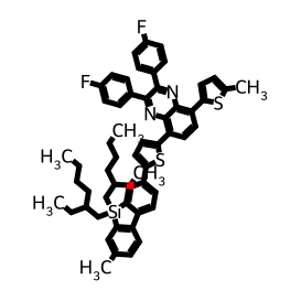 CCCCC(CC)C[Si]1(CC(CC)CCCC)c2cc(C)ccc2-c2ccc(-c3ccc(-c4ccc(-c5ccc(C)s5)c5nc(-c6ccc(F)cc6)c(-c6ccc(F)cc6)nc45)s3)cc21